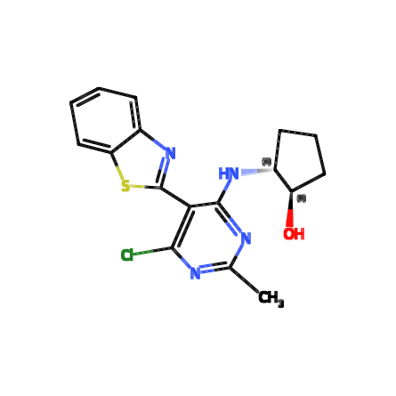 Cc1nc(Cl)c(-c2nc3ccccc3s2)c(N[C@@H]2CCC[C@H]2O)n1